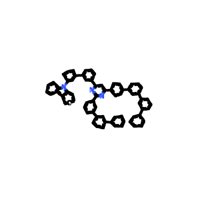 c1ccc(-c2cccc(-c3cccc(-c4ccc(-c5cc(-c6cccc(-c7cccc(-n8c9ccccc9c9ccccc98)c7)c6)nc(-c6cccc(-c7cccc(-c8ccccc8)c7)c6)n5)cc4)c3)c2)cc1